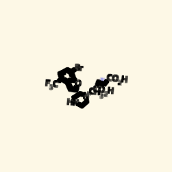 CN1CCNCC1.FC(F)(F)c1ccc(Br)c2occc12.O=C(O)/C=C/C(=O)O